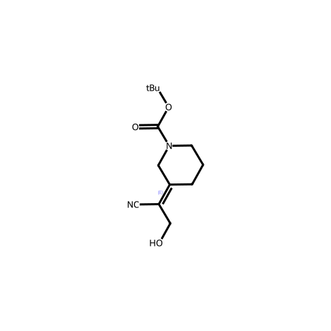 CC(C)(C)OC(=O)N1CCC/C(=C(/C#N)CO)C1